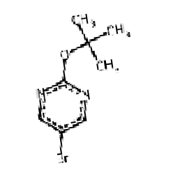 CC(C)(C)Oc1ncc(Br)cn1